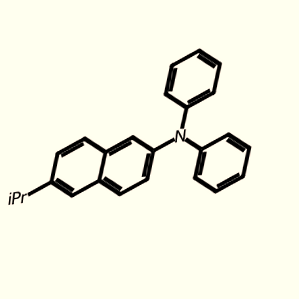 CC(C)c1ccc2cc(N(c3ccccc3)c3ccccc3)ccc2c1